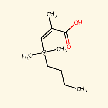 CCCC[Si](C)(C)C=C(C)C(=O)O